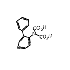 O=C(O)N(C(=O)O)c1ccccc1-c1ccccc1